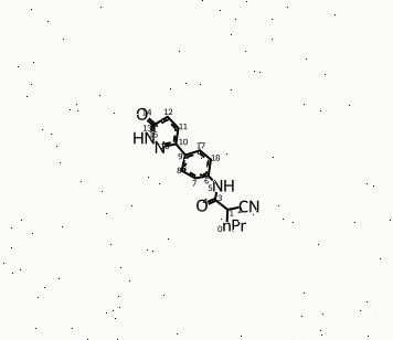 CCCC(C#N)C(=O)Nc1ccc(-c2ccc(=O)[nH]n2)cc1